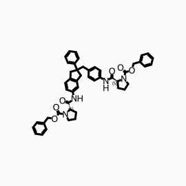 O=C(Nc1ccc(CC2(c3ccccc3)Cc3ccc(NC(=O)[C@@H]4CCCN4C(=O)OCc4ccccc4)cc3C2)cc1)[C@@H]1CCCN1C(=O)OCc1ccccc1